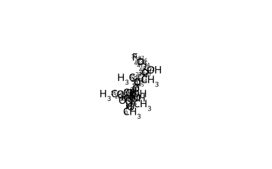 CCOC(=O)C(C)NN(NC(C)C(=O)OCC)P(=O)(O)COc1cc(C)c(Cc2ccc(O)c(Cc3ccc(F)cc3)c2)c(C)c1